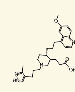 COc1ccc2nccc(CCC[C@@H]3CCN(CCCc4c[nH]nc4C)C[C@@H]3CCC(=O)O)c2c1